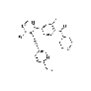 CCc1ncnc(-c2ccc(C(=O)N3CCOCC3)c(C)c2)c1C#Cc1ccc(N)nc1